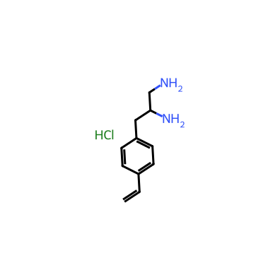 C=Cc1ccc(CC(N)CN)cc1.Cl